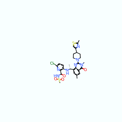 Cc1cc([C@@H](C)Nc2ccc(Cl)nc2C(=O)NS(C)(=O)=O)c2nc(N3CCC(c4csc(C)n4)CC3)n(C)c(=O)c2c1